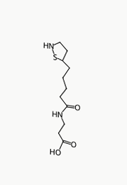 O=C(O)CCNC(=O)CCCCC1CCNS1